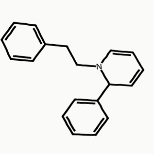 C1=CC(c2ccccc2)N(CCc2ccccc2)C=C1